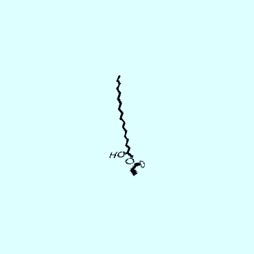 C=CC(=O)OCC(O)CCCCCCCCCCCCCCCCC